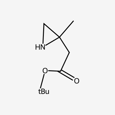 CC1(CC(=O)OC(C)(C)C)CN1